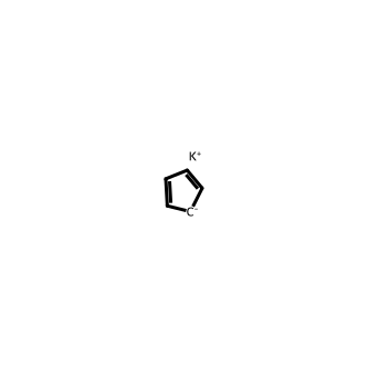 [K+].c1cc[cH-]c1